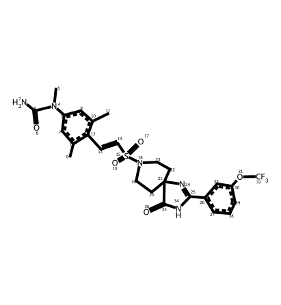 Cc1cc(N(C)C(N)=O)cc(C)c1C=CS(=O)(=O)N1CCC2(CC1)N=C(c1cccc(OC(F)(F)F)c1)NC2=O